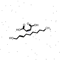 CCCCCCCC=CCO.O=C(O)/C=C\C(=O)O